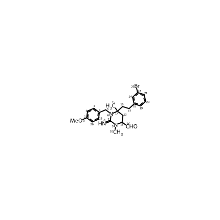 COc1ccc(CN2C(=N)N(C)C(C=O)CC2(C)CCc2cccc(Br)c2)cc1